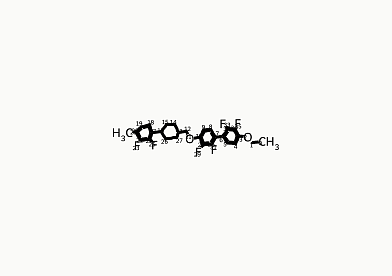 CCOc1ccc(-c2ccc(OCC3CCC(c4ccc(C)c(F)c4F)CC3)c(F)c2F)c(F)c1F